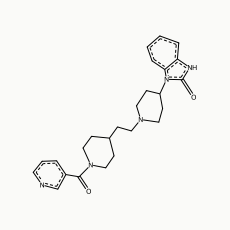 O=C(c1cccnc1)N1CCC(CCN2CCC(n3c(=O)[nH]c4ccccc43)CC2)CC1